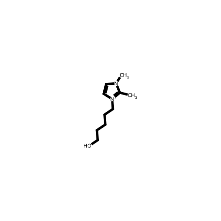 Cc1n(C)cc[n+]1CCCCCO